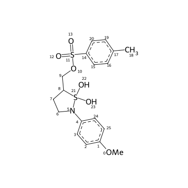 COc1ccc(N2CCC(COS(=O)(=O)c3ccc(C)cc3)S2(O)O)cc1